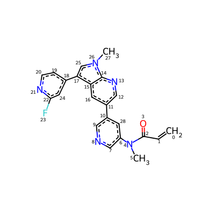 C=CC(=O)N(C)c1cncc(-c2cnc3c(c2)c(-c2ccnc(F)c2)cn3C)c1